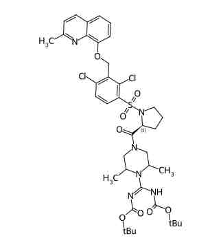 Cc1ccc2cccc(OCc3c(Cl)ccc(S(=O)(=O)N4CCC[C@H]4C(=O)N4CC(C)N(C(=NC(=O)OC(C)(C)C)NC(=O)OC(C)(C)C)C(C)C4)c3Cl)c2n1